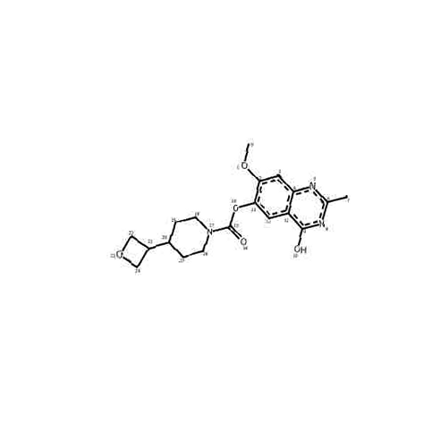 COc1cc2nc(C)nc(O)c2cc1OC(=O)N1CCC(C2COC2)CC1